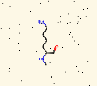 CNC([C]=O)CCCCN